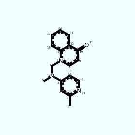 Cc1cc(N(C)Cn2ccc(=O)c3ccccc32)ccn1